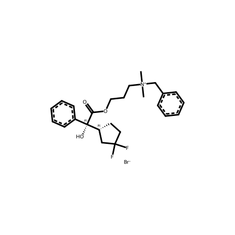 C[N+](C)(CCCOC(=O)[C@](O)(c1ccccc1)[C@@H]1CCC(F)(F)C1)Cc1ccccc1.[Br-]